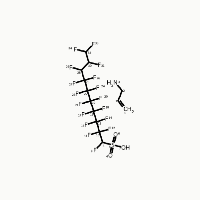 C=CCN.O=S(=O)(O)C(F)C(F)(F)C(F)(F)C(F)(F)C(F)(F)C(F)(F)C(F)(F)C(F)C(F)C(F)F